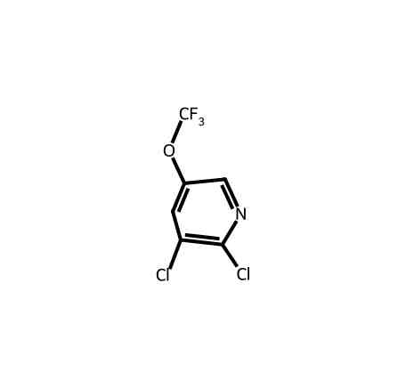 FC(F)(F)Oc1cnc(Cl)c(Cl)c1